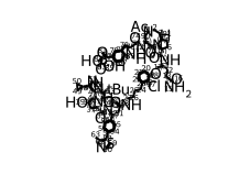 CC(=O)N1CC[C@H]2CC[C@@H](C(=O)N[C@@H](CCC(N)=O)COc3cccc(CCCCNC(=O)C[C@H](NC(=O)[C@@H]4C[C@@H](O)CN4C(=O)[C@@H](n4cc(C5CC5)nn4)C(C)(C)C)c4ccc(-c5scnc5C)cc4)c3Cl)N2C(=O)[C@@H](NC(=O)c2cc3cc(C(=O)P(=O)(O)O)ccc3[nH]2)C1